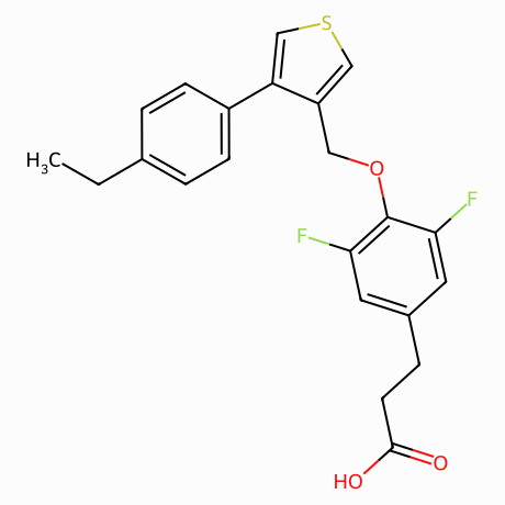 CCc1ccc(-c2cscc2COc2c(F)cc(CCC(=O)O)cc2F)cc1